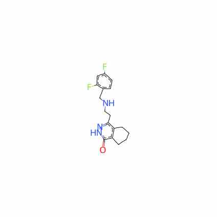 O=c1[nH]nc(CCNCc2ccc(F)cc2F)c2c1CCCC2